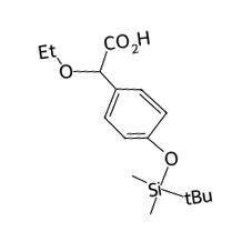 CCOC(C(=O)O)c1ccc(O[Si](C)(C)C(C)(C)C)cc1